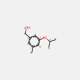 Cc1cc(CO)cc(OC(C)C)c1